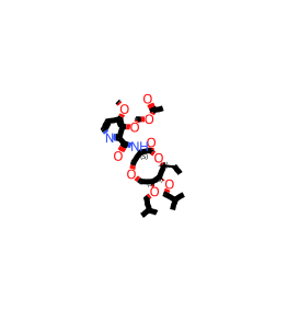 CC[C@@H]1OC(=O)[C@@H](NC(=O)c2nccc(OC)c2OCOC(C)=O)COC[C@H](OCC(C)C)[C@H]1OCC(C)C